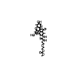 COC(=O)OCCOCCNC(=S)Nc1ccc2c(c1)C(=O)OC21c2ccc(O)cc2Oc2cc(O)ccc21